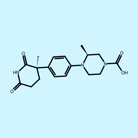 C[C@H]1CN(C(=O)O)CCN1c1ccc([C@@]2(C)CCC(=O)NC2=O)cc1